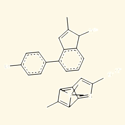 CC1=CC2=C3C(C)=C(C2=N1)[Si]3(C)C.CCc1ccc(-c2cccc3c2C=C(C)[CH]3[Zr+2])cc1.[Cl-].[Cl-]